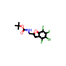 CC(C)(C)OC(=O)NCc1cc2c(F)c(Br)c(F)c(F)c2o1